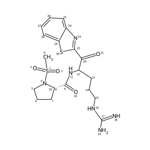 CS(=O)(=O)N1CCC[C@H]1C(=O)NC(CCCNC(=N)N)C(=O)c1nc2ccccc2s1